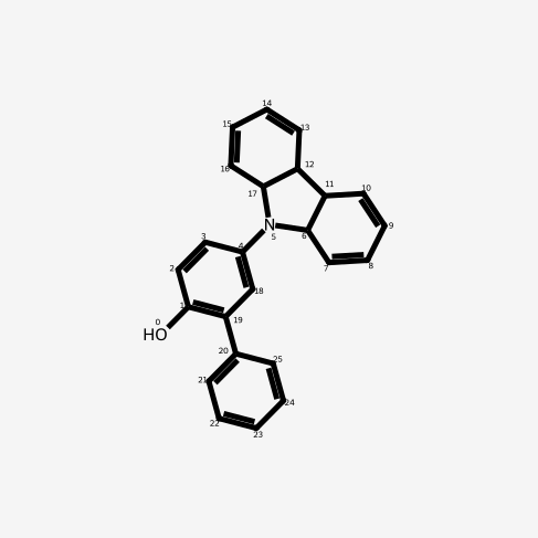 Oc1ccc(N2C3C=CC=CC3C3C=CC=CC32)cc1-c1ccccc1